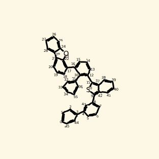 c1ccc(-c2cccc(-c3sc(-c4cccc(-c5cccc6c5oc5ccccc56)c4-c4ccccc4)c4ccccc34)c2)cc1